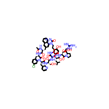 CC(=O)N[C@H](Cc1ccc2ccccc2c1)C(=O)N[C@H](Cc1ccc(Cl)cc1)C(=O)N[C@H](Cc1cccnc1)C(=O)N[C@@H](CO)C(=O)N[C@@H](Cc1ccc(O)cc1)C(=O)N[C@H](CCCNC(N)=O)C(=O)N[C@@H](CC(C)C)C(=O)N[C@@H](CCCNC(=N)N)C(=O)N1CCCC1C(=O)O